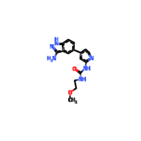 COCCNC(=O)Nc1cc(-c2ccc3[nH]nc(N)c3c2)ccn1